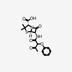 CC(=O)C(Oc1ccccc1)C(=O)N[C@@H]1C(=O)N2[C@@H]1SC(C)(C)[C@@H]2C(=O)O